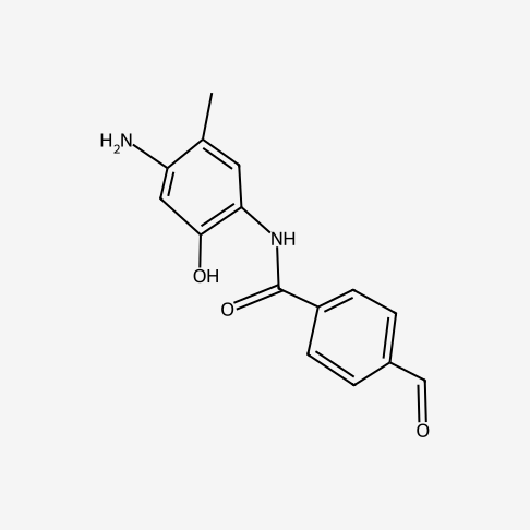 Cc1cc(NC(=O)c2ccc(C=O)cc2)c(O)cc1N